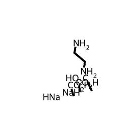 CC(=O)O.CC(=O)O.CC(=O)O.NCCN.[NaH].[NaH]